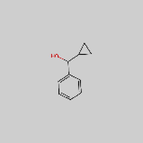 OC(c1ccccc1)C1CC1